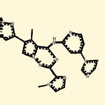 Cc1c(-c2ccn(C)n2)cn2nc(-c3nccn3C)nc(Nc3cc(-n4ccnc4)ccn3)c12